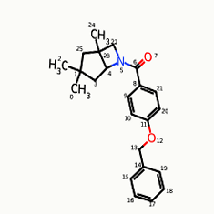 CC1(C)CC2N(C(=O)c3ccc(OCc4ccccc4)cc3)CC2(C)C1